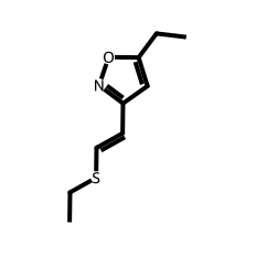 CCSC=Cc1cc(CC)on1